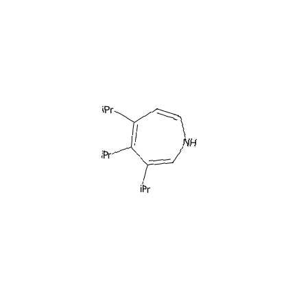 CC(C)C1=CNC=CC(C(C)C)=C1C(C)C